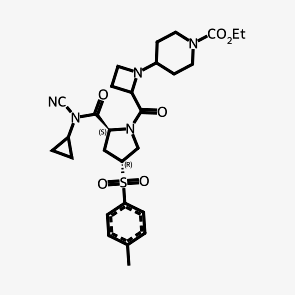 CCOC(=O)N1CCC(N2CCC2C(=O)N2C[C@H](S(=O)(=O)c3ccc(C)cc3)C[C@H]2C(=O)N(C#N)C2CC2)CC1